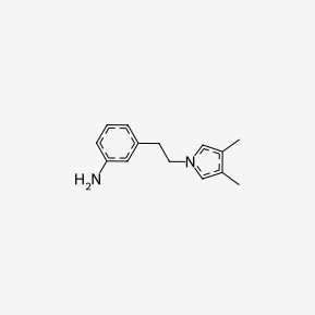 Cc1cn(CCc2cccc(N)c2)cc1C